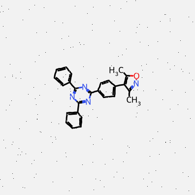 Cc1noc(C)c1-c1ccc(-c2nc(-c3ccccc3)nc(-c3ccccc3)n2)cc1